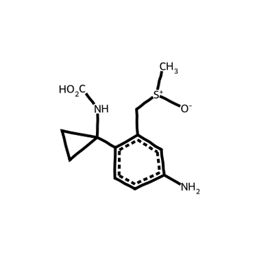 C[S+]([O-])Cc1cc(N)ccc1C1(NC(=O)O)CC1